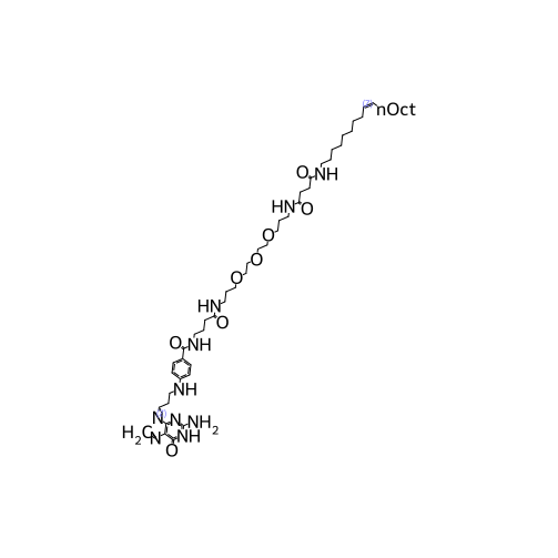 C=Nc1c(/N=C\CCNc2ccc(C(=O)NCCCC(=O)NCCCOCCOCCOCCCNC(=O)CCC(=O)NCCCCCCCC/C=C\CCCCCCCC)cc2)nc(N)[nH]c1=O